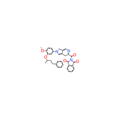 COc1ccc(N2C=C3CC(C(=O)N4C(=O)c5ccccc5C4=O)=NC=C3C2)cc1OC(C)CCc1ccccc1